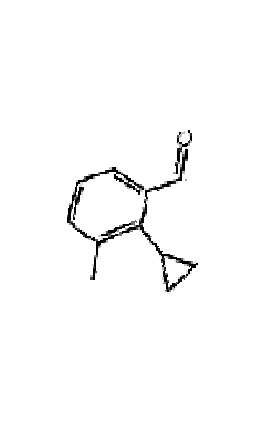 Cc1cccc([C]=O)c1C1CC1